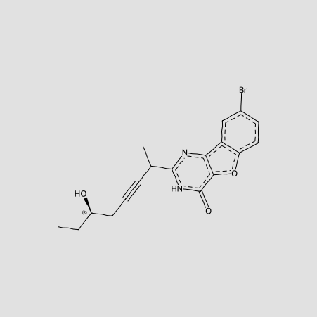 CC[C@@H](O)CC#CC(C)c1nc2c(oc3ccc(Br)cc32)c(=O)[nH]1